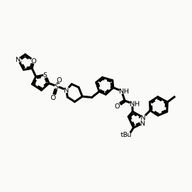 Cc1ccc(-n2nc(C(C)(C)C)cc2NC(=O)Nc2cccc(CC3CCN(S(=O)(=O)c4ccc(-c5cnco5)s4)CC3)c2)cc1